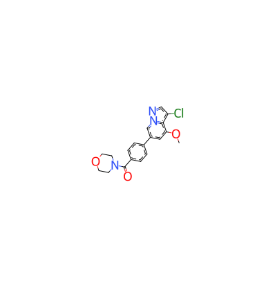 COc1cc(-c2ccc(C(=O)N3CCOCC3)cc2)cn2ncc(Cl)c12